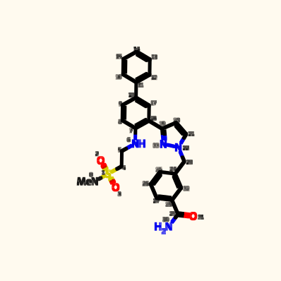 CNS(=O)(=O)CCNc1ccc(-c2ccccc2)cc1-c1ccn(Cc2cccc(C(N)=O)c2)n1